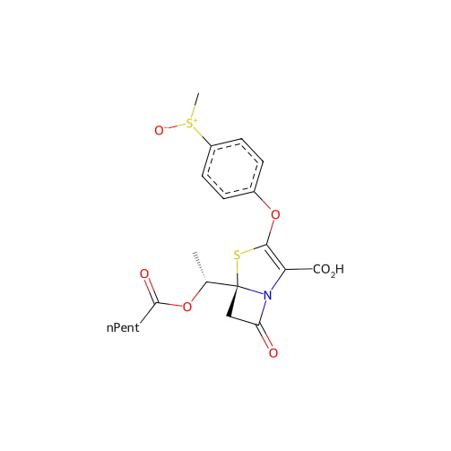 CCCCCC(=O)O[C@H](C)[C@@]12CC(=O)N1C(C(=O)O)=C(Oc1ccc([S+](C)[O-])cc1)S2